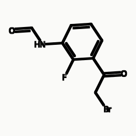 O=CNc1cccc(C(=O)CBr)c1F